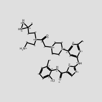 Cc1nc(Nc2ncc(C(=O)Nc3c(C)cccc3Cl)s2)cc(N2CCN(CC(=O)N(CCN)CCC3(C)NN3)CC2)n1